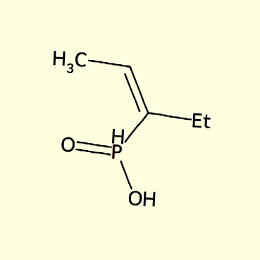 CC=C(CC)[PH](=O)O